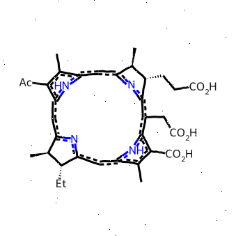 CC[C@H]1c2cc3[nH]c(c(CC(=O)O)c4nc(cc5[nH]c(cc(n2)[C@@H]1C)c(C(C)=O)c5C)[C@@H](C)[C@@H]4CCC(=O)O)c(C(=O)O)c3C